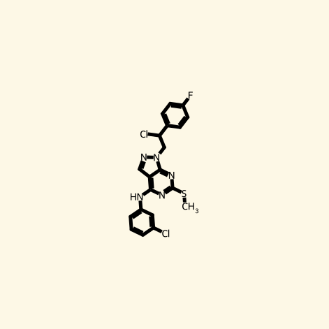 CSc1nc(Nc2cccc(Cl)c2)c2cnn(CC(Cl)c3ccc(F)cc3)c2n1